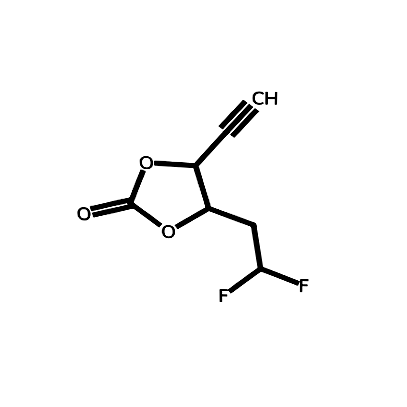 C#CC1OC(=O)OC1CC(F)F